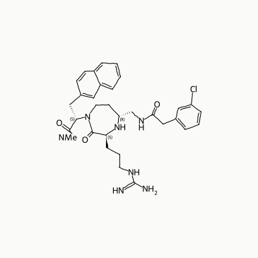 CNC(=O)[C@H](Cc1ccc2ccccc2c1)N1CC[C@H](CNC(=O)Cc2cccc(Cl)c2)N[C@@H](CCCNC(=N)N)C1=O